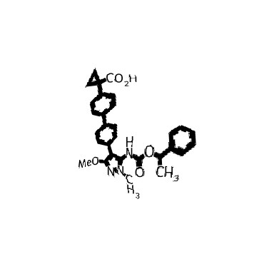 COc1nn(C)c(NC(=O)OC(C)c2ccccc2)c1-c1ccc(-c2ccc(C3(C(=O)O)CC3)cc2)cc1